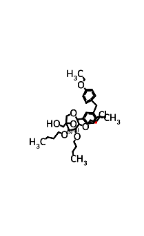 CCCCOC1[C@@H](OCCCC)[C@H](OCCCC)C2(CO)COC1(c1ccc(Cl)c(Cc3ccc(OCC)cc3)c1)O2